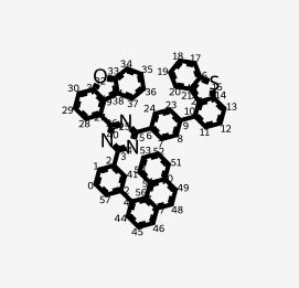 c1cc(-c2nc(-c3ccc(-c4cccc5sc6ccccc6c45)cc3)nc(-c3cccc4oc5ccccc5c34)n2)cc(-c2cccc3ccc4ccccc4c23)c1